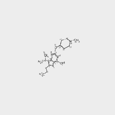 CCCc1nn2c(O)nc(OC3CCN(C)CC3)nc2c1C(C)C